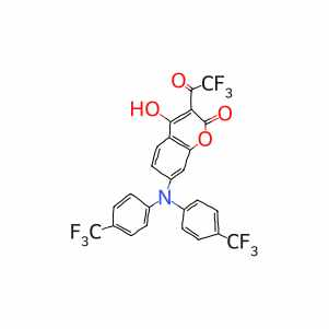 O=C(c1c(O)c2ccc(N(c3ccc(C(F)(F)F)cc3)c3ccc(C(F)(F)F)cc3)cc2oc1=O)C(F)(F)F